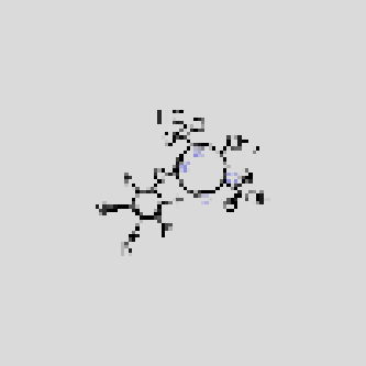 C=C1/C=C(S(=O)(=O)O)\C=C/C/C(Oc2c(F)c(F)c(C#N)c(C#N)c2F)=C\C(S(=O)(=O)O)=C/1